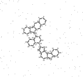 c1ccc2cc3c(cc2c1)c1ccccc1n3-c1ccc(-c2nc3ccc4oc5ccccc5c4c3s2)c2ccccc12